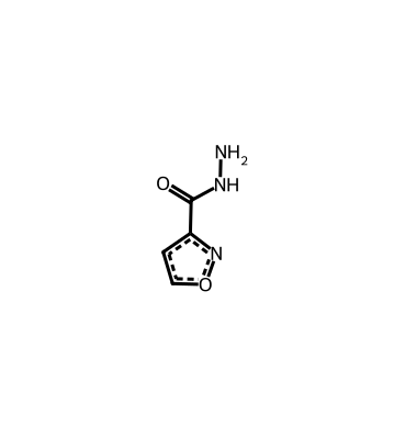 NNC(=O)c1ccon1